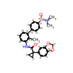 Cc1c(NC(=O)C2(c3ccc4c(c3)OCO4)CC2)cccc1-c1ccc([S+]([O-])N(C)C)cc1